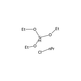 CCCCl.CCO[SiH](OCC)OCC